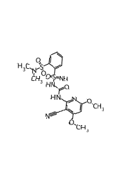 COc1cc(OC)c(C#N)c(NC(=O)NS(=N)(=O)c2ccccc2S(=O)(=O)N(C)C)n1